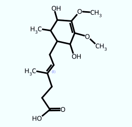 COC1=C(OC)C(O)C(C/C=C(\C)CCC(=O)O)C(C)C1O